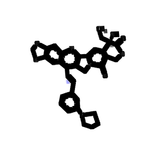 CC[C@@]1(O)C(=O)OCc2c1cc1n(c2=O)Cc2c-1nc1cc3c(cc1c2/C=C/c1cccc(N2CCCC2)c1)OCO3